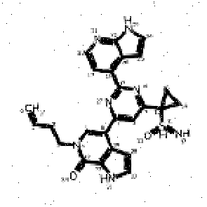 C=CCCn1cc(-c2cc(C3([SH](=N)=O)CC3)nc(-c3ccnc4[nH]ccc34)n2)c2cc[nH]c2c1=O